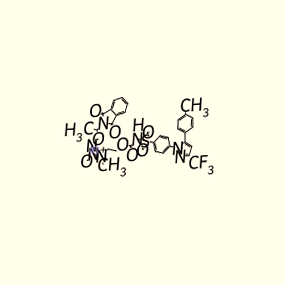 Cc1ccc(-c2cc(C(F)(F)F)nn2-c2ccc(S(=O)(=O)NC(=O)OCCN(C)/[N+]([O-])=N\OC(C)N3C(=O)c4ccccc4C3=O)cc2)cc1